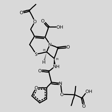 CC(=O)OCC1=C(C(=O)O)N2C(=O)[C@@H](NC(=O)C(=NOC(C)(C)C(=O)O)c3ccco3)[C@H]2SC1